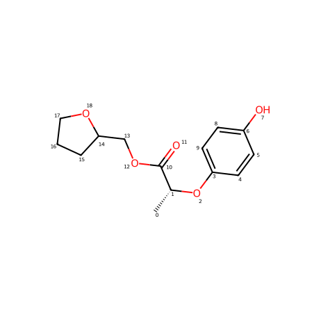 C[C@@H](Oc1ccc(O)cc1)C(=O)OCC1CCCO1